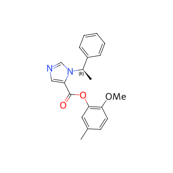 COc1ccc(C)cc1OC(=O)c1cncn1[C@H](C)c1ccccc1